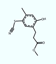 COC(=O)CCc1cc(SC#N)c(C)cc1O